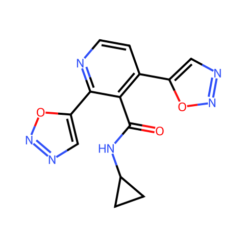 O=C(NC1CC1)c1c(-c2cnno2)ccnc1-c1cnno1